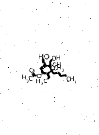 CCCCC[C@@]1(C)C(CC)[C@H](OC(C)=O)C=C(CO)[C@@]1(O)CO